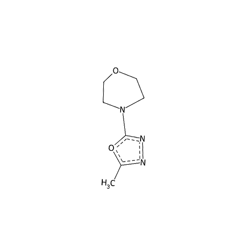 Cc1nnc(N2CCOCC2)o1